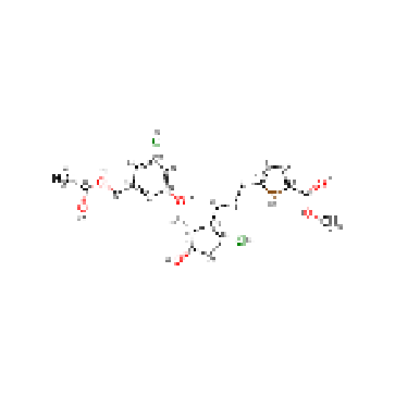 COC(=O)c1ccc(CCCC2[C@H](Cl)CC(=O)[C@@H]2COc2cc(Cl)cc(COC(C)=O)c2)s1